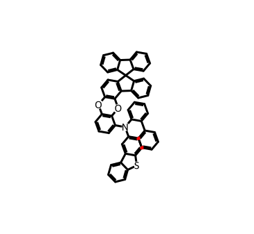 c1ccc(-c2ccccc2N(c2ccc3sc4ccccc4c3c2)c2cccc3c2Oc2c(ccc4c2-c2ccccc2C42c4ccccc4-c4ccccc42)O3)cc1